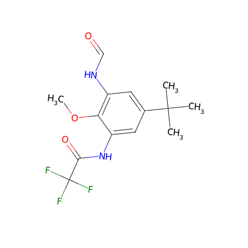 COc1c(NC=O)cc(C(C)(C)C)cc1NC(=O)C(F)(F)F